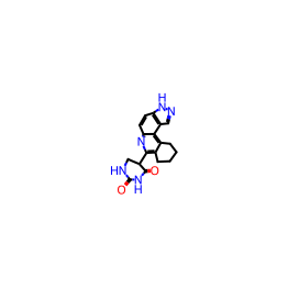 O=C1NCC(c2nc3ccc4[nH]ncc4c3c3c2CCCC3)C(=O)N1